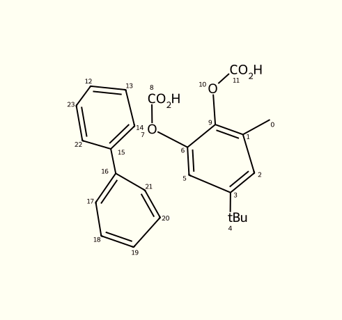 Cc1cc(C(C)(C)C)cc(OC(=O)O)c1OC(=O)O.c1ccc(-c2ccccc2)cc1